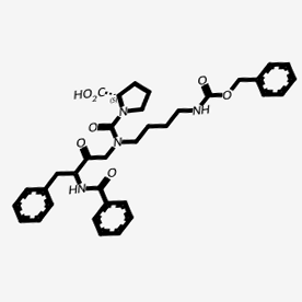 O=C(NCCCCN(CC(=O)C(Cc1ccccc1)NC(=O)c1ccccc1)C(=O)N1CCC[C@H]1C(=O)O)OCc1ccccc1